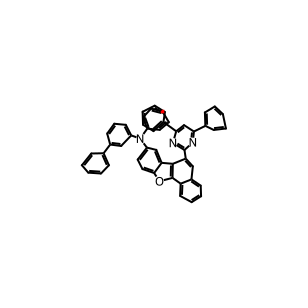 c1ccc(-c2cccc(N(c3ccccc3)c3ccc4oc5c6ccccc6cc(-c6nc(-c7ccccc7)cc(-c7ccccc7)n6)c5c4c3)c2)cc1